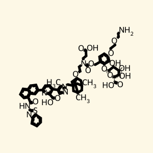 Cc1c(-c2ccc(-c3ccc4cccc(C(=O)Nc5nc6ccccc6s5)c4c3)nc2C(=O)O)cnn1CC12CC3(C)CC(C)(C1)CC(OCCN(CCC(=O)O)C(=O)OCc1ccc(OCCOCCN)cc1O[C@H]1O[C@@H](C(=O)O)[C@H](O)[C@@H](O)[C@@H]1O)(C3)C2